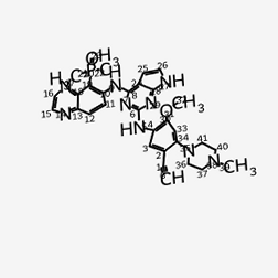 C#Cc1cc(Nc2nc(Nc3ccc4nccnc4c3P(C)(C)=O)c3cc[nH]c3n2)c(OC)cc1N1CCN(C)CC1